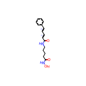 O=C(/C=C/C=C/c1ccccc1)NCCCCC(=O)NO